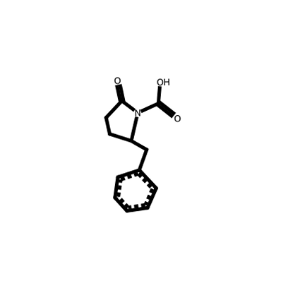 O=C(O)N1C(=O)CCC1Cc1ccccc1